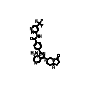 N[N+]12C=CN=CC1=C([C@@H]1CC[C@H]3CCC(=O)N3C1)N=C2c1ccc(C(=O)Nc2cc(C(F)(F)F)cnn2)cc1